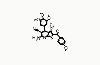 COc1ccc(C(=O)c2sc3nc(N)c(C#N)c(-c4cc(OC)c(OC)c(OC)c4)c3c2N)cc1